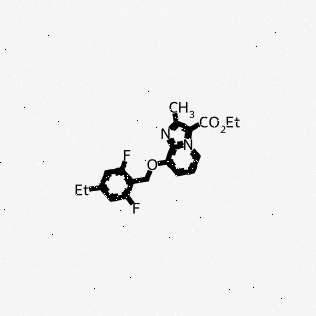 CCOC(=O)c1c(C)nc2c(OCc3c(F)cc(CC)cc3F)cccn12